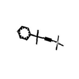 CC(C)(C#C[Si](C)(C)C)c1cc[c]cc1